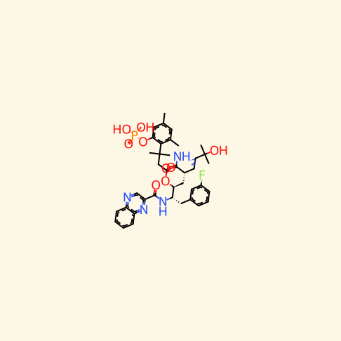 Cc1cc(C)c(C(C)(C)CC(=O)O[C@@H](C[C@@H](CCC(C)(C)O)C(N)=O)[C@H](Cc2cccc(F)c2)NC(=O)c2cnc3ccccc3n2)c(OP(=O)(O)O)c1